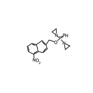 O=[N+]([O-])c1cccc2cc(COP(=P)(N3CC3)N3CC3)ccc12